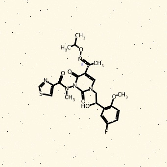 COc1ccc(F)cc1C(O)Cn1cc(/C(C)=N/OC(C)C)c(=O)n(N(C)C(=O)c2cscn2)c1=O